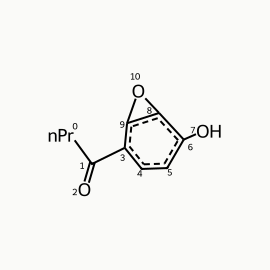 CCCC(=O)c1ccc(O)c2c1O2